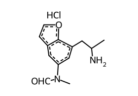 CC(N)Cc1cc(N(C)C=O)cc2ccoc12.Cl